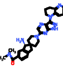 CN(C)C(=O)c1ccc2c(c1)[C@H](N)C1(CCN(c3cnc4c(N5CCCc6ncccc65)n[nH]c4n3)CC1)C2